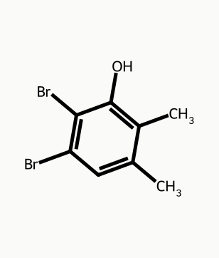 Cc1cc(Br)c(Br)c(O)c1C